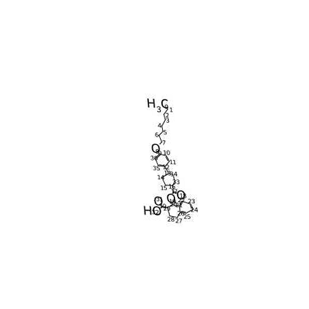 CCCCCCCCOc1ccc(C2CCC(C(=O)OC3c4ccccc4CCC3C(=O)O)CC2)cc1